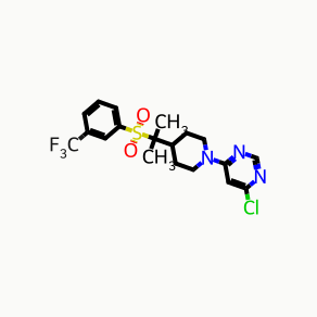 CC(C)(C1CCN(c2cc(Cl)ncn2)CC1)S(=O)(=O)c1cccc(C(F)(F)F)c1